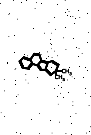 CC1(C)C=CC2=c3[c]cc4ccccc4c3=CC2=C1